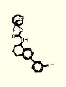 CC(C)c1cccc(-c2ccc3c(c2)CCCC3NC(=O)O[C@H]2CN3CCC2CC3)c1